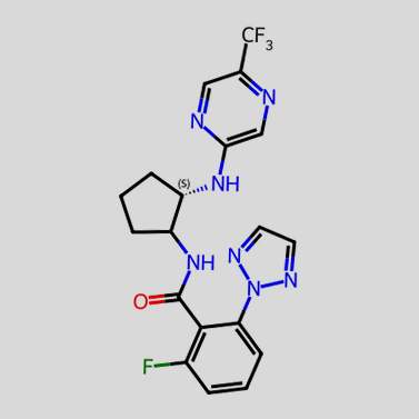 O=C(NC1CCC[C@@H]1Nc1cnc(C(F)(F)F)cn1)c1c(F)cccc1-n1nccn1